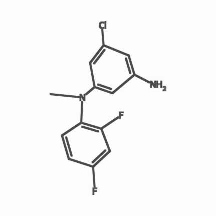 CN(c1cc(N)cc(Cl)c1)c1ccc(F)cc1F